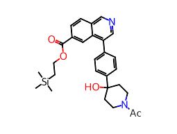 CC(=O)N1CCC(O)(c2ccc(-c3cncc4ccc(C(=O)OCC[Si](C)(C)C)cc34)cc2)CC1